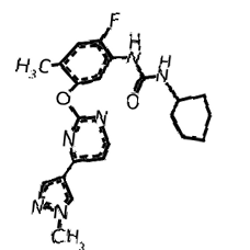 Cc1cc(F)c(NC(=O)NC2CCCCC2)cc1Oc1nccc(-c2cnn(C)c2)n1